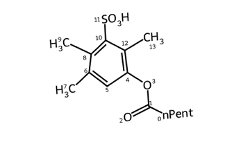 CCCCCC(=O)Oc1cc(C)c(C)c(S(=O)(=O)O)c1C